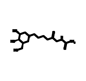 NC(=O)NCC(=O)CCCCN1C[C@@H](CO)[C@H](O)[C@@H](O)C1